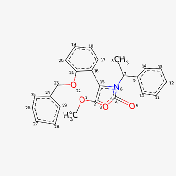 COc1oc(=O)n(C(C)c2ccccc2)c1-c1ccccc1OCc1ccccc1